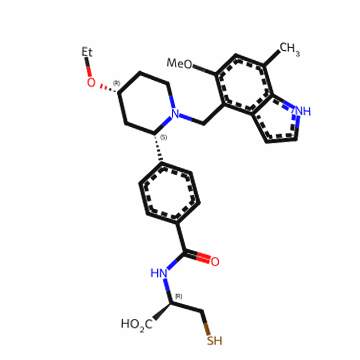 CCO[C@@H]1CCN(Cc2c(OC)cc(C)c3[nH]ccc23)[C@H](c2ccc(C(=O)N[C@@H](CS)C(=O)O)cc2)C1